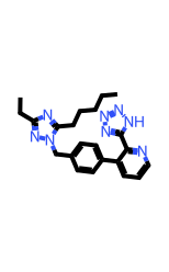 CCCCCc1nc(CC)nn1Cc1ccc(-c2cccnc2-c2nnn[nH]2)cc1